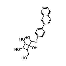 OCC1C(O)C(O)C1(O)C(O)Oc1ccc(-c2ccc3ncncc3c2)cc1